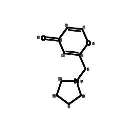 O=c1ccoc(CN2CCCC2)c1